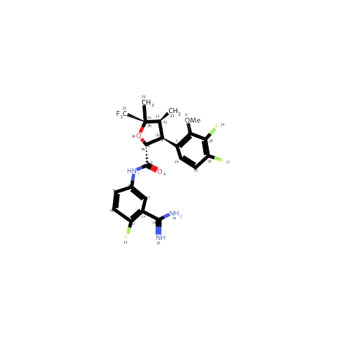 COc1c([C@H]2[C@H](C(=O)Nc3ccc(F)c(C(=N)N)c3)O[C@@](C)(C(F)(F)F)[C@H]2C)ccc(F)c1F